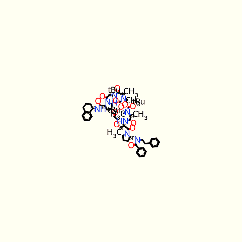 C[C@@H](OCCO[C@H]1C[C@@H](C(=O)N[C@@H]2CCCc3ccccc32)N(C(=O)[C@@H](NC(=O)[C@H](C)N(C)C(=O)OC(C)(C)C)C(C)(C)C)C1)[C@H](NC(=O)[C@H](C)N(C)C(=O)OC(C)(C)C)C(=O)N1CCC[C@H]1CN(CCc1ccccc1)C(=O)c1ccccc1